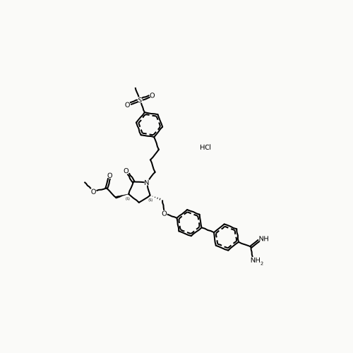 COC(=O)C[C@@H]1C[C@@H](COc2ccc(-c3ccc(C(=N)N)cc3)cc2)N(CCCc2ccc(S(C)(=O)=O)cc2)C1=O.Cl